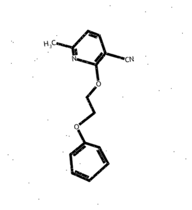 Cc1ccc(C#N)c(OCCOc2ccccc2)n1